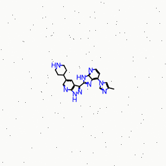 Cc1cn(-c2ccnc3[nH]c(-c4n[nH]c5ncc(C6CCNCC6)cc45)nc23)cn1